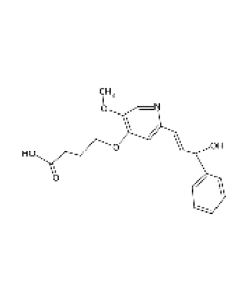 COc1cnc(/C=C/C(O)c2ccccc2)cc1OCCCC(=O)O